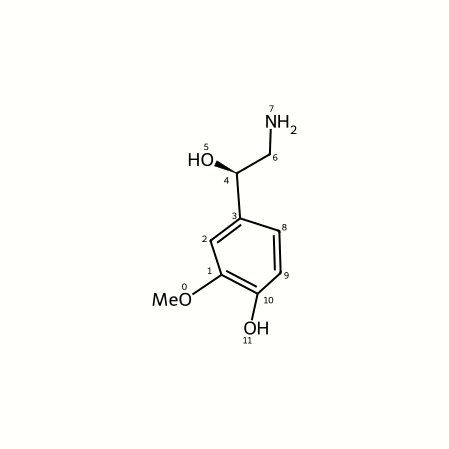 COc1cc([C@@H](O)CN)ccc1O